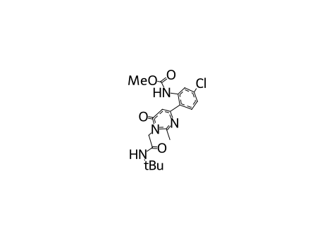 COC(=O)Nc1cc(Cl)ccc1-c1cc(=O)n(CC(=O)NC(C)(C)C)c(C)n1